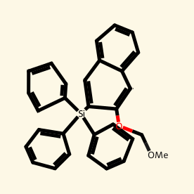 COCOc1[c]c2ccccc2cc1[Si](c1ccccc1)(c1ccccc1)c1ccccc1